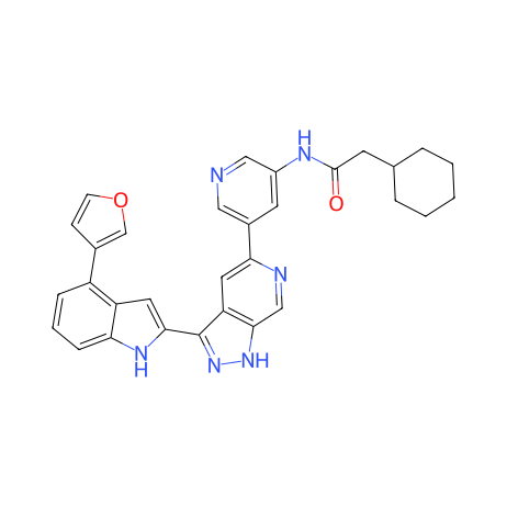 O=C(CC1CCCCC1)Nc1cncc(-c2cc3c(-c4cc5c(-c6ccoc6)cccc5[nH]4)n[nH]c3cn2)c1